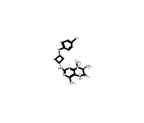 Cc1nc(N[C@H]2C[C@H](Sc3ccc(F)cc3)C2)nc2c1NC(=O)[C@H](C)N2C